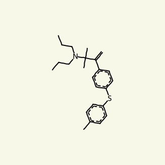 C=C(c1ccc(Sc2ccc(C)cc2)cc1)C(C)(C)N(CCC)CCC